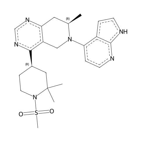 C[C@@H]1Cc2ncnc([C@@H]3CCN(S(C)(=O)=O)C(C)(C)C3)c2CN1c1ccnc2[nH]ccc12